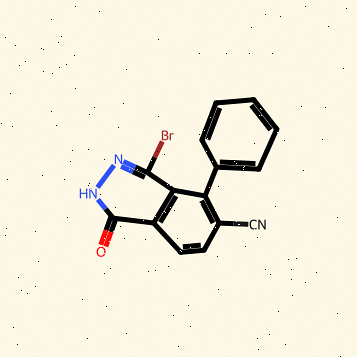 N#Cc1ccc2c(=O)[nH]nc(Br)c2c1-c1ccccc1